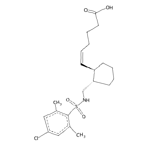 Cc1cc(Cl)cc(C)c1S(=O)(=O)NC[C@H]1CCCC[C@@H]1/C=C\CCCC(=O)O